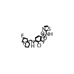 O=S(=O)(Nc1nccs1)c1ccc(NC[C@@]23CCCN2C[C@H](F)C3)c(Cl)c1F